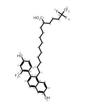 O=C(O)C(CCCCCCCCCCc1c(-c2ccc(O)cc2C(F)(F)F)ccc2cc(O)ccc12)CCCC(F)(F)C(F)(F)F